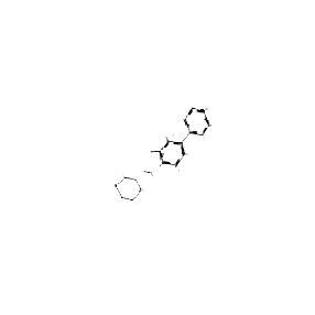 CCCCCC[C@H]1CC[C@H](COc2ccc(-c3ccc(C(F)(F)F)cc3)c(F)c2F)CC1